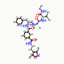 CCNC(=O)[C@@H](NC(=O)[C@H](C)NC[C@H](Cc1ccccc1)NC(=O)c1cccc(C(=O)NCCc2c(C)noc2C)c1)C(C)C